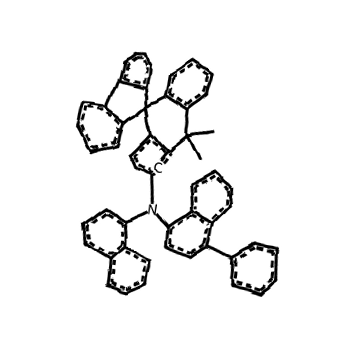 CC1(C)c2ccccc2C2(c3ccccc3-c3ccccc32)c2ccc(N(c3cccc4ccccc34)c3ccc(-c4ccccc4)c4ccccc34)cc21